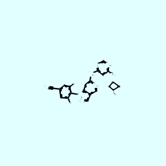 N#Cc1cc(F)c(-n2ncc3cnc(Nc4cc(N[C@H]5C[C@H](O)C5)ncn4)cc32)c(Cl)c1